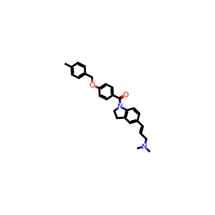 Cc1ccc(COc2ccc(C(=O)N3CCc4cc(C=CCN(C)C)ccc43)cc2)cc1